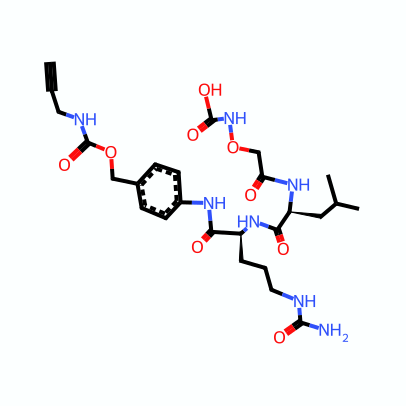 C#CCNC(=O)OCc1ccc(NC(=O)[C@H](CCCNC(N)=O)NC(=O)[C@H](CC(C)C)NC(=O)CONC(=O)O)cc1